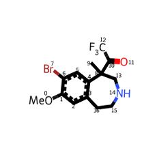 COc1cc2c(cc1Br)C(C)(C(=O)C(F)(F)F)CNCC2